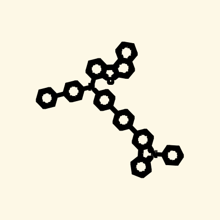 c1ccc(-c2ccc(N(c3ccc(-c4ccc(-c5ccc6c(c5)c5ccccc5n6-c5ccccc5)cc4)cc3)c3cccc4c3oc3ccc5ccccc5c34)cc2)cc1